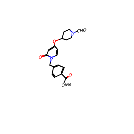 COC(=O)c1ccc(Cn2ccc(OC3CCN([C]=O)CC3)cc2=O)cc1